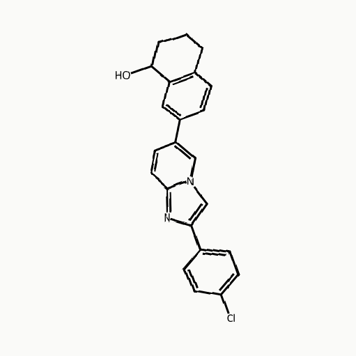 OC1CCCc2ccc(-c3ccc4nc(-c5ccc(Cl)cc5)cn4c3)cc21